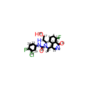 CC(C1=C2C=CCC(F)=C2C(=O)N=C1)N(CCCO)C(=O)Nc1ccc(F)c(Cl)c1